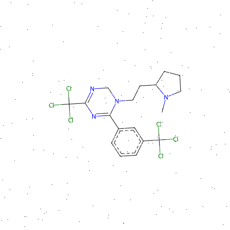 CN1CCCC1CCN1CN=C(C(Cl)(Cl)Cl)N=C1c1cccc(C(Cl)(Cl)Cl)c1